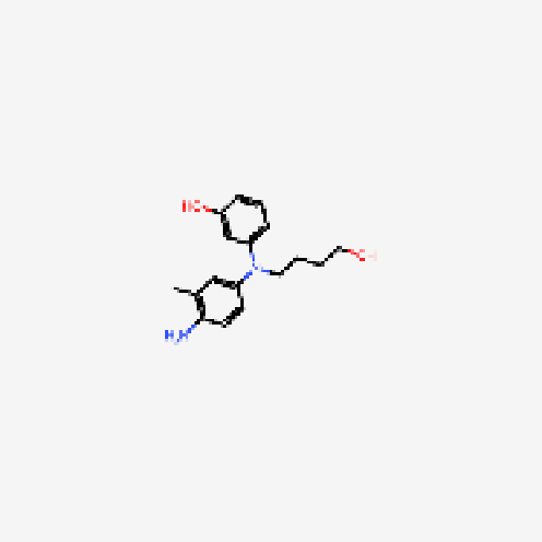 Cc1cc(N(CCCCO)c2cccc(O)c2)ccc1N